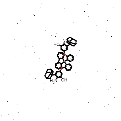 Nc1c(O)cc(Oc2ccccc2C2(c3ccccc3Oc3cc(O)c(N)c(C45CC6CC(CC(C6)C4)C5)c3)c3ccccc3-c3ccccc32)cc1C12CC3CC(CC(C3)C1)C2